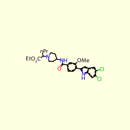 CCCC(C(=O)OCC)N1CCC(NC(=O)c2ccc(-c3cc4cc(Cl)c(Cl)cc4[nH]3)c(OC)c2)CC1